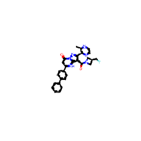 Cc1nccnc1-c1nn2c(=O)cc(-c3ccc(-c4ccccc4)cc3)[nH]c2c1C(=O)N1CC(CF)C1